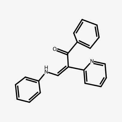 O=C(C(=CNc1ccccc1)c1ccccn1)c1ccccc1